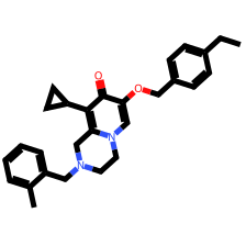 CCc1ccc(COc2cn3c(c(C4CC4)c2=O)CN(Cc2ccccc2C)CC3)cc1